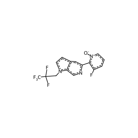 [O-][n+]1cccc(F)c1-c1cc2ccn(CC(F)(F)C(F)(F)F)c2cn1